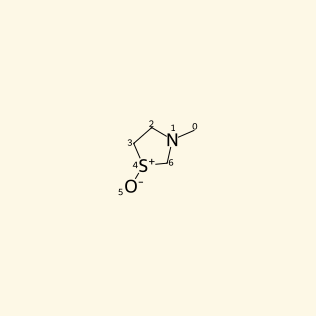 CN1CC[S+]([O-])C1